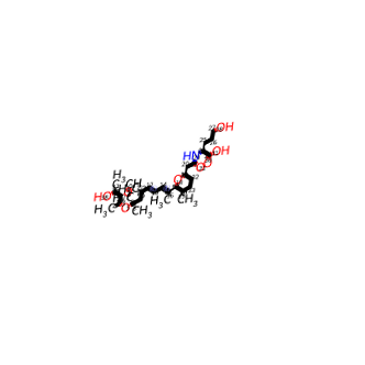 CO[C@H](C(C)OC(C)(C)C[C@H](C)/C=C/C=C(\C)[C@H]1O[C@@H](CC(=O)N[C@@H](CCCO)C(=O)O)CC[C@@H]1C)[C@@H](C)O